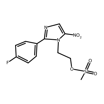 CS(=O)(=O)OCCn1c([N+](=O)[O-])cnc1-c1ccc(F)cc1